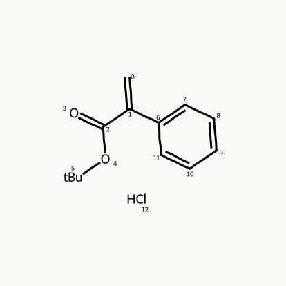 C=C(C(=O)OC(C)(C)C)c1ccccc1.Cl